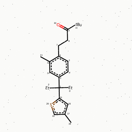 CCC(CC)(c1ccc(CCC(=O)C(C)(C)C)c(C)c1)c1cc(C)cs1